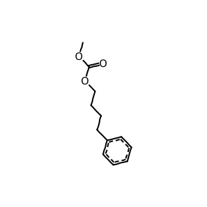 COC(=O)OCCCCc1ccccc1